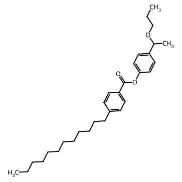 CCCCCCCCCCCCc1ccc(C(=O)Oc2ccc(C(C)OCCC)cc2)cc1